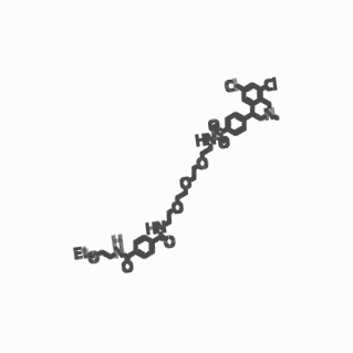 CCOCCNC(=O)c1ccc(C(=O)NCCOCCOCCOCCNS(=O)(=O)c2ccc(C3CN(C)Cc4c(Cl)cc(Cl)cc43)cc2)cc1